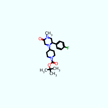 CN1CC(c2ccc(F)cc2)N(C2CCN(C(=O)OC(C)(C)C)CC2)CC1=O